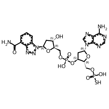 NC(=O)c1cccc2c1nnn2[C@H]1C[C@H](O)[C@@H](COP(=O)(O)O[C@H]2C[C@H](n3cnc4c(N)ncnc43)O[C@@H]2COP(=O)(O)S)O1